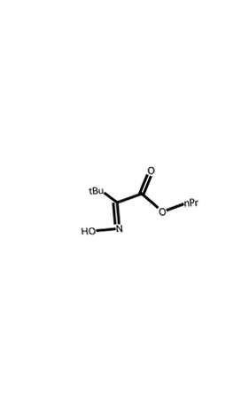 CCCOC(=O)C(=NO)C(C)(C)C